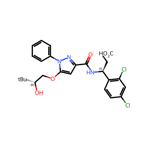 CC(C)(C)[C@@H](O)COc1cc(C(=O)N[C@@H](CC(=O)O)c2ccc(Cl)cc2Cl)nn1-c1ccccc1